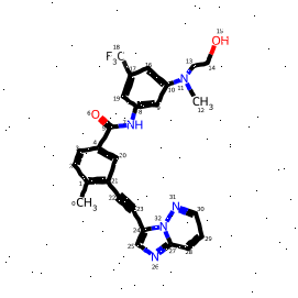 Cc1ccc(C(=O)Nc2cc(N(C)CCO)cc(C(F)(F)F)c2)cc1C#Cc1cnc2cccnn12